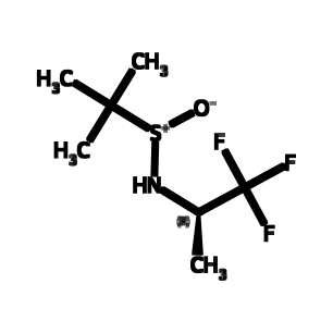 C[C@@H](N[S+]([O-])C(C)(C)C)C(F)(F)F